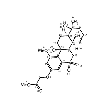 COC(=O)COc1cc(OC)c2c(c1)S(=O)(=O)C[C@@H]1[C@@]3(C)CCCC(C)(C)[C@@H]3CC[C@@]21C